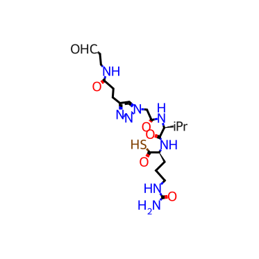 CC(C)[C@H](NC(=O)Cn1cc(CCC(=O)NCCC=O)nn1)C(=O)N[C@@H](CCCNC(N)=O)C(=O)S